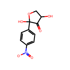 O=C1C(O)COC1(O)c1ccc([N+](=O)[O-])cc1